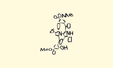 COC(=O)c1ccc(C(=O)c2cc(Cl)c3n2-c2c([nH]c(Cl)c2C)C(=O)c2ccc(C(=O)OC)cc2O3)c(O)c1